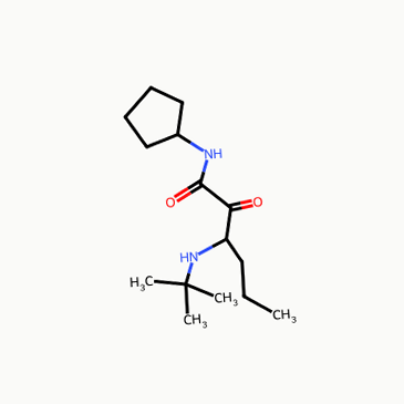 CCCC(NC(C)(C)C)C(=O)C(=O)NC1CCCC1